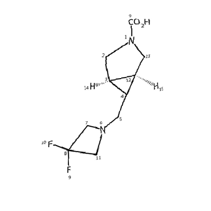 O=C(O)N1C[C@@H]2C(CN3CC(F)(F)C3)[C@@H]2C1